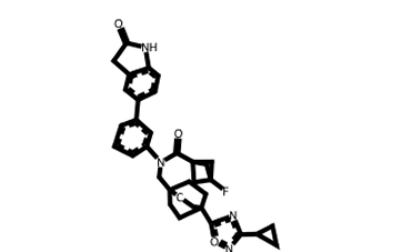 O=C1Cc2cc(-c3cccc(N(CC45CCC(c6nc(C7CC7)no6)(CC4)CC5)C(=O)C45CC(F)(C4)C5)c3)ccc2N1